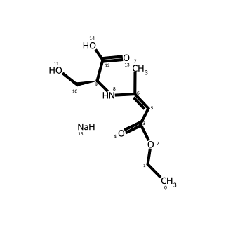 CCOC(=O)C=C(C)N[C@@H](CO)C(=O)O.[NaH]